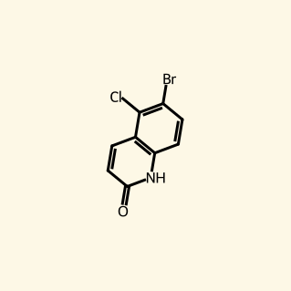 O=c1ccc2c(Cl)c(Br)ccc2[nH]1